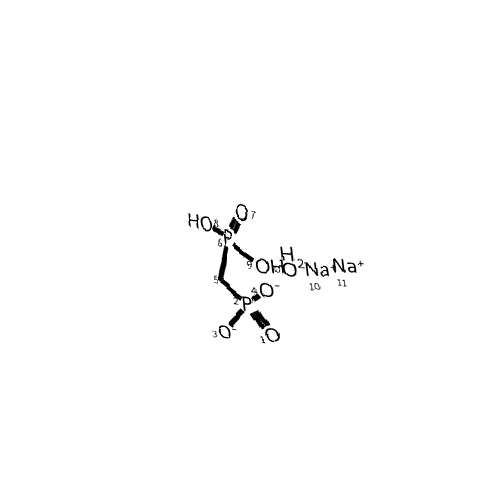 O.O=P([O-])([O-])CP(=O)(O)O.[Na+].[Na+]